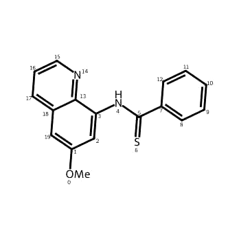 COc1cc(NC(=S)c2ccccc2)c2ncccc2c1